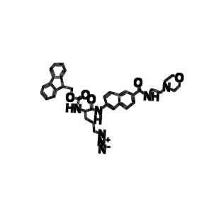 [N-]=[N+]=NCCCC(NC(=O)OCC1c2ccccc2-c2ccccc21)C(=O)Nc1ccc2cc(C(=O)NCCN3CCOCC3)ccc2c1